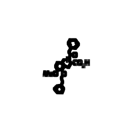 COc1ccc2c(c1OCCc1ccccc1)CC(C(=O)O)N(C(=O)Cc1ccccc1)C2